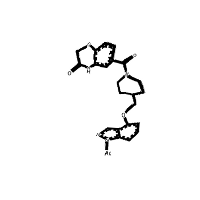 CC(=O)n1ncc2c(OCC3CCN(C(=O)c4ccc5c(c4)NC(=O)CO5)CC3)cccc21